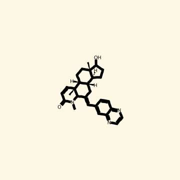 CN1C(=O)C=C[C@@]2(C)C1C(=Cc1ccc3nccnc3c1)C[C@@H]1[C@H]2CC[C@]2(C)C(O)CC[C@@H]12